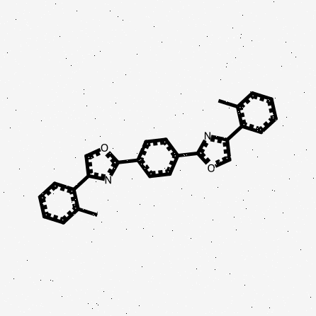 Cc1ccccc1-c1coc(-c2ccc(-c3nc(-c4ccccc4C)co3)cc2)n1